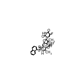 CC(C)OC(=O)[C@@H](C)NP(=O)(OC[C@H]1O[C@@H](n2cc(F)c(=O)[nH]c2=O)[C@](C)(O)[C@@H]1O)Oc1cccc2ccccc12